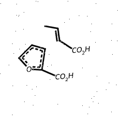 C/C=C/C(=O)O.O=C(O)c1ccco1